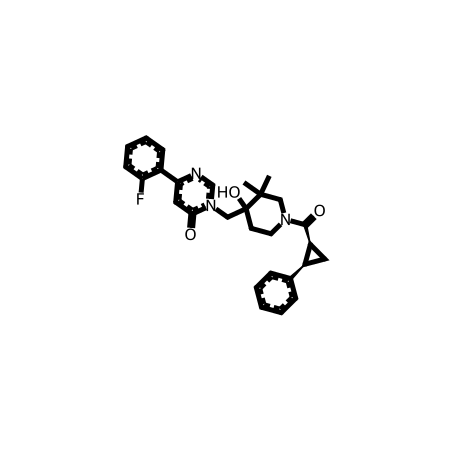 CC1(C)CN(C(=O)[C@H]2C[C@H]2c2ccccc2)CCC1(O)Cn1cnc(-c2ccccc2F)cc1=O